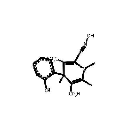 CC1=C(C(=O)O)C(C)(c2ccccc2C#N)C(C(=O)O)=C(C=NO)N1C